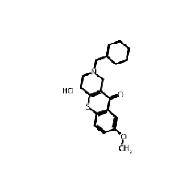 COc1ccc2sc3c(c(=O)c2c1)CN(CC1CCCCC1)CC3.Cl